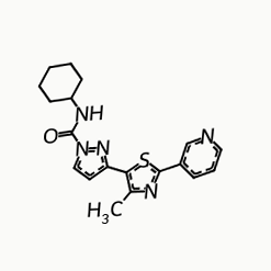 Cc1nc(-c2cccnc2)sc1-c1ccn(C(=O)NC2CCCCC2)n1